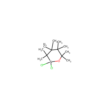 CC1(C)O[Si](Cl)(Cl)C(C)(C)C(C)(C)C1(C)C